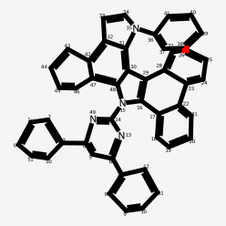 c1ccc(-c2cc(-c3ccccc3)nc(-n3c4c5ccccc5c5ccccc5c4c4c5c(ccn5-c5ccccc5)c5ccccc5c43)n2)cc1